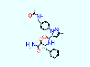 CC(=O)NCc1ccc(-n2nc(C)cc2C(=O)N[C@@H](Cc2ccccc2)C(=O)C(N)=O)cc1